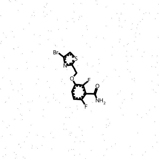 NC(=O)c1c(F)ccc(OCc2nc(Br)cs2)c1F